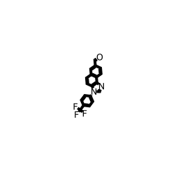 O=Cc1ccc2c(ccc3c2ncn3-c2ccc(C(F)(F)F)cc2)c1